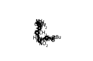 Cc1c(CNc2ncc([N+](=O)[O-])c(NCC3CCC(CNC(=O)OC(C)(C)C)CC3)n2)cccc1-c1cccc(C[N+](C)(C(N)=O)C(N)=O)c1